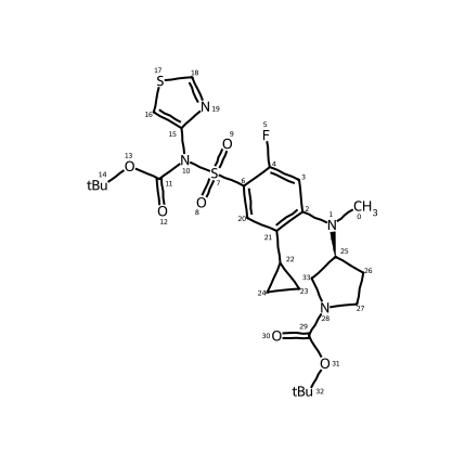 CN(c1cc(F)c(S(=O)(=O)N(C(=O)OC(C)(C)C)c2cscn2)cc1C1CC1)[C@H]1CCN(C(=O)OC(C)(C)C)C1